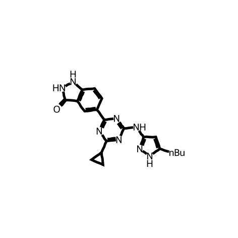 CCCCc1cc(Nc2nc(-c3ccc4[nH][nH]c(=O)c4c3)nc(C3CC3)n2)n[nH]1